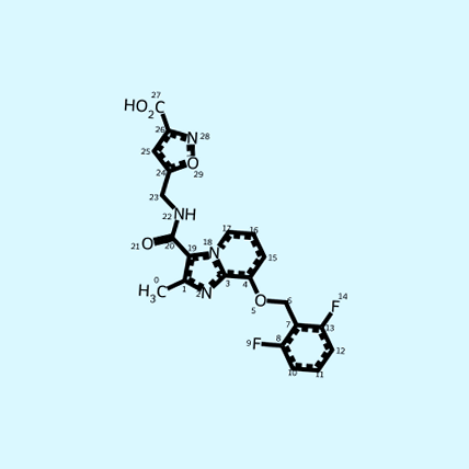 Cc1nc2c(OCc3c(F)cccc3F)cccn2c1C(=O)NCc1cc(C(=O)O)no1